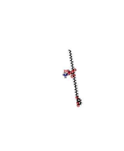 CCCCCCCCCCCCCCCC(=O)OCC(COP(O)OCC[N+](C)(C)C)OC(=O)CCCCCCCCCCCCCCCOc1ccc2ccc(=O)oc2c1